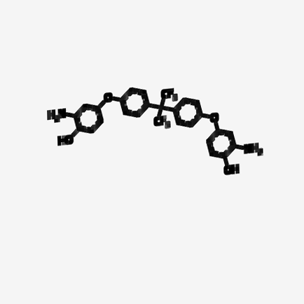 Nc1cc(Oc2ccc(C(c3ccc(Oc4ccc(O)c(N)c4)cc3)(C(F)(F)F)C(F)(F)F)cc2)ccc1O